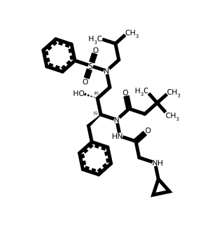 CC(C)CN(C[C@@H](O)[C@H](Cc1ccccc1)N(NC(=O)CNC1CC1)C(=O)CC(C)(C)C)S(=O)(=O)c1ccccc1